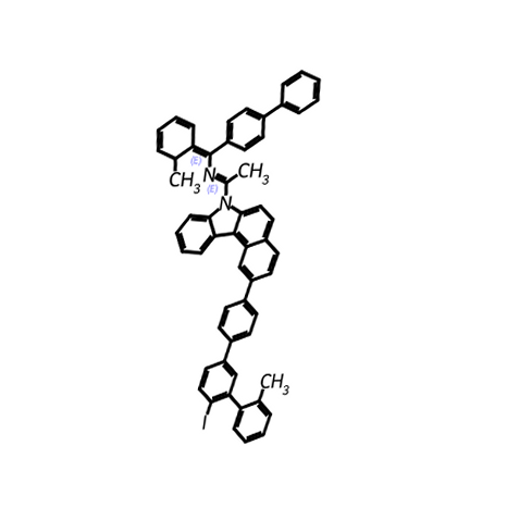 C/C(=N\C(=C1\C=CC=CC1C)c1ccc(-c2ccccc2)cc1)n1c2ccccc2c2c3cc(-c4ccc(-c5ccc(I)c(-c6ccccc6C)c5)cc4)ccc3ccc21